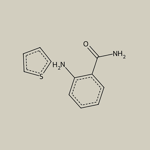 NC(=O)c1ccccc1N.c1ccsc1